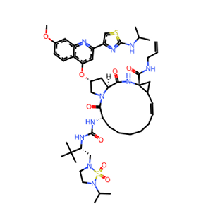 C=CCNC(=O)[C@@]12CC1/C=C\CCCCC[C@H](NC(=O)N[C@H](CN1CCN(C(C)C)S1(=O)=O)C(C)(C)C)C(=O)N1C[C@H](Oc3cc(-c4csc(NC(C)C)n4)nc4cc(OC)ccc34)C[C@H]1C(=O)N2